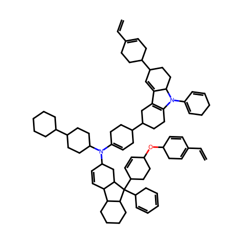 C=CC1=CCC(OC2C=CC(C3(C4C=CC=CC4)C4CC(N(C5=CCC(C6CCC7=C(C6)C6=CC(C8CC=C(C=C)CC8)CCC6N7C6=CCCC=C6)CC5)C5CCC(C6CCCCC6)CC5)C=CC4C4CCCCC43)CC2)C=C1